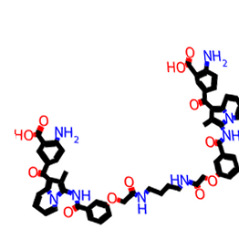 Cc1c(C(=O)c2ccc(N)c(C(=O)O)c2)c2ccccn2c1NC(=O)c1cccc(OCC(=O)NCCCCNC(=O)COc2cccc(C(=O)Nc3c(C)c(C(=O)c4ccc(N)c(C(=O)O)c4)c4ccccn34)c2)c1